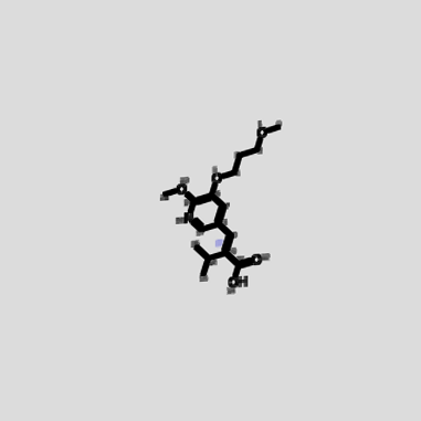 COCCCOc1cc(/C=C(/C(=O)O)C(C)C)cnc1OC